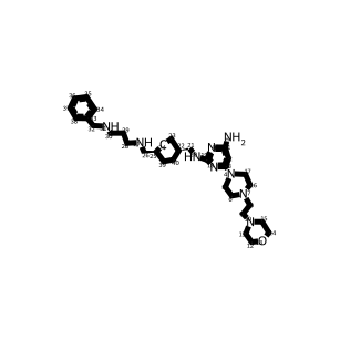 Nc1cc(N2CCN(CCN3CCOCC3)CC2)nc(NC[C@H]2CC[C@H](CNCCCNCc3ccccc3)CC2)n1